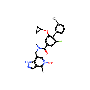 Cc1c2cn[nH]c2c(CN(C)C(=O)c2cc(F)c(-c3cccc(C#N)c3)c(OC3CC3)c2)c[n+]1[O-]